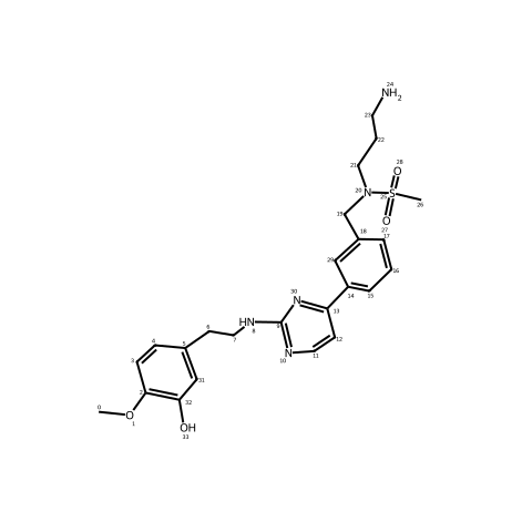 COc1ccc(CCNc2nccc(-c3cccc(CN(CCCN)S(C)(=O)=O)c3)n2)cc1O